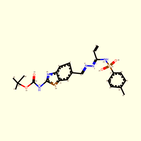 C=C/C(=N\N=C\c1ccc2nc(NC(=O)OC(C)(C)C)sc2c1)NS(=O)(=O)c1ccc(C)cc1